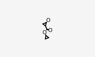 O=C1CC1C(=O)OC1CC1